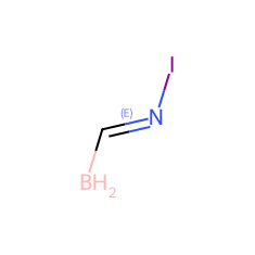 B/C=N/I